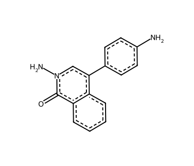 Nc1ccc(-c2cn(N)c(=O)c3ccccc23)cc1